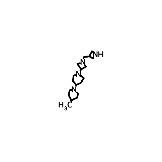 CC1CCN(C2CCN(C3CN(CC4CNC4)C3)CC2)CC1